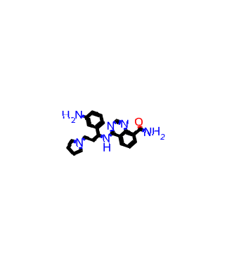 NC(=O)c1cccc2c(NC(CCN3CCCC3)c3cccc(N)c3)ncnc12